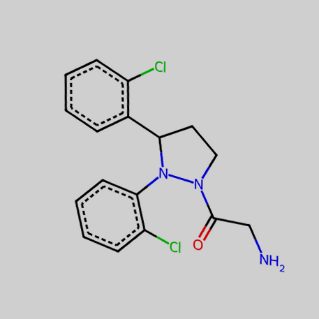 NCC(=O)N1CCC(c2ccccc2Cl)N1c1ccccc1Cl